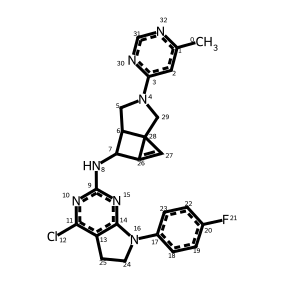 Cc1cc(N2CC3C(Nc4nc(Cl)c5c(n4)N(c4ccc(F)cc4)CC5)C4=CC43C2)ncn1